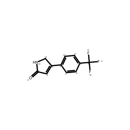 O=C1C=C(c2ccc(C(F)(F)F)cc2)CN1